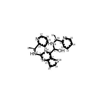 C[C@H](Nc1nc(C(O)N[C@@H](C)c2ccccn2)c2sccc2n1)c1ccccn1